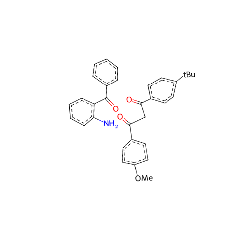 COc1ccc(C(=O)CC(=O)c2ccc(C(C)(C)C)cc2)cc1.Nc1ccccc1C(=O)c1ccccc1